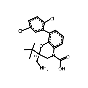 CC(C)(C)[C@@]1(CN)CN(C(=O)O)c2cccc(-c3cc(Cl)ccc3Cl)c2O1